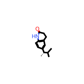 CC(C)[C@H](C)c1ccc2c(c1)CCC(=O)N2